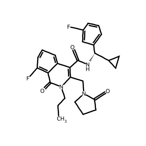 CCCn1c(CN2CCCC2=O)c(C(=O)N[C@H](c2cccc(F)c2)C2CC2)c2cccc(F)c2c1=O